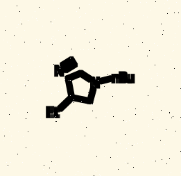 C#N.CCCCN1CCC(CC)C1